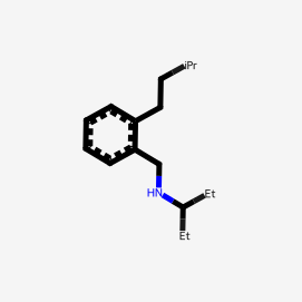 CCC(CC)NCc1ccc[c]c1CCC(C)C